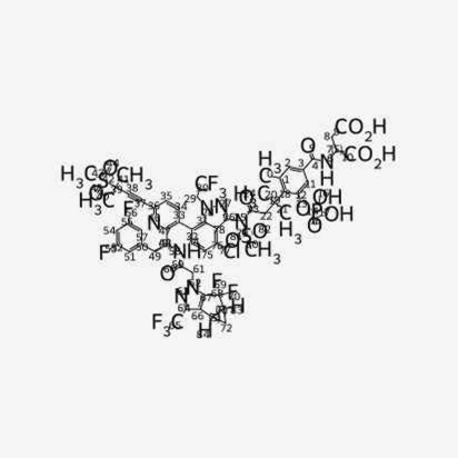 Cc1cc(C(=O)N[C@@H](CC(=O)O)C(=O)O)cc(OP(=O)(O)O)c1C(C)(C)CC(=O)N(c1nn(CC(F)(F)F)c2c(-c3ccc(C#CC(C)(C)S(C)(=O)=O)nc3[C@H](Cc3cc(F)cc(F)c3)NC(=O)Cn3nc(C(F)(F)F)c4c3C(F)(F)[C@@H]3C[C@H]43)ccc(Cl)c12)S(C)(=O)=O